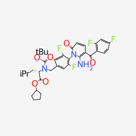 CC(C)C[C@@H](C(=O)OC1CCCC1)N(Cc1cc(F)c(-n2c(N)c(C(=O)c3ccc(F)cc3F)ccc2=O)c(F)c1)C(=O)OC(C)(C)C